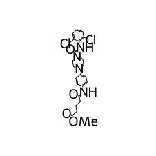 COC(=O)CCCC(=O)Nc1ccc(N2CCN(C(=O)Nc3c(Cl)cccc3Cl)CC2)cc1